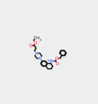 CCOC(=O)CCN1CCN(c2ccc3c(c2)C(NC(=O)OCc2ccccc2)CCC3)CC1